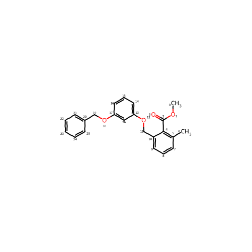 COC(=O)c1c(C)cccc1COc1cccc(OCc2ccccc2)c1